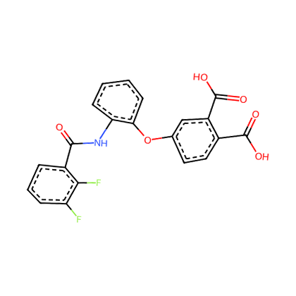 O=C(O)c1ccc(Oc2ccccc2NC(=O)c2cccc(F)c2F)cc1C(=O)O